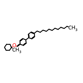 CCCCCCCCCCCCc1ccc(C2C=CC(=COC3(C)CCCCC3)C=C2)cc1